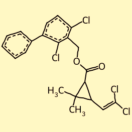 CC1(C)C(C=C(Cl)Cl)C1C(=O)OCc1c(Cl)ccc(-c2ccccc2)c1Cl